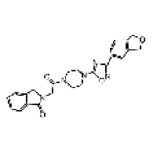 O=C(CN1Cc2ccccc2C1=O)N1CCN(c2nc(-c3ccc4c(c3)COC4)no2)CC1